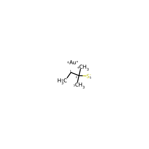 CCC(C)(C)[S-].[Au+]